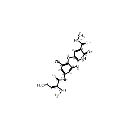 CC/C=C(/NC)C(=O)Nc1cc(Cl)c(Oc2c[nH]c(=O)c(C(=O)NC)c2)c(Cl)c1